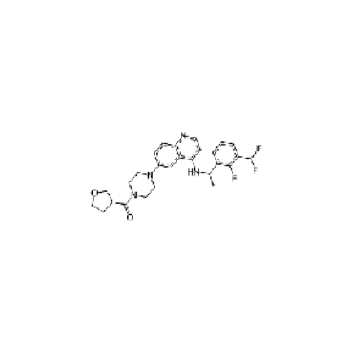 C[C@@H](Nc1ccnc2ccc(N3CCN(C(=O)[C@H]4CCOC4)CC3)cc12)c1cccc(C(F)F)c1F